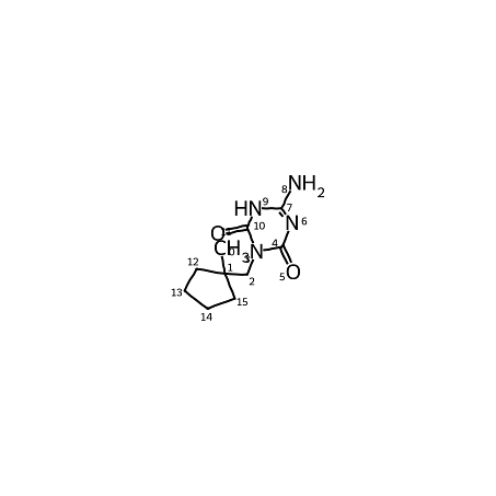 CC1(Cn2c(=O)nc(N)[nH]c2=O)CCCC1